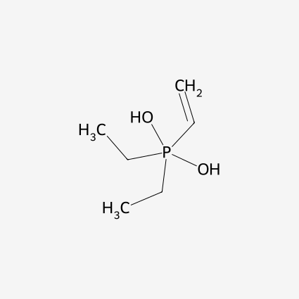 C=CP(O)(O)(CC)CC